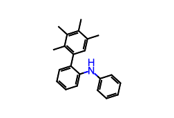 Cc1cc(-c2ccccc2Nc2ccccc2)c(C)c(C)c1C